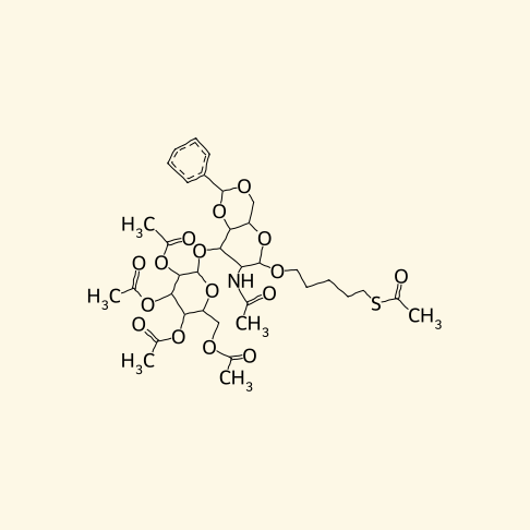 CC(=O)NC1C(OCCCCCSC(C)=O)OC2COC(c3ccccc3)OC2C1OC1OC(COC(C)=O)C(OC(C)=O)C(OC(C)=O)C1OC(C)=O